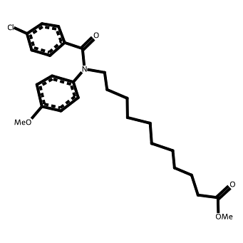 COC(=O)CCCCCCCCCCN(C(=O)c1ccc(Cl)cc1)c1ccc(OC)cc1